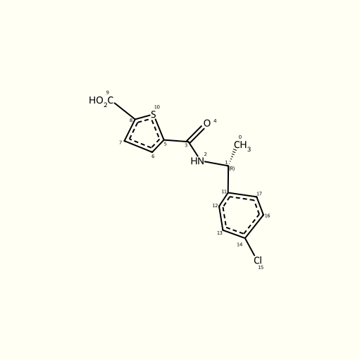 C[C@@H](NC(=O)c1ccc(C(=O)O)s1)c1ccc(Cl)cc1